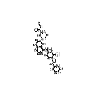 C=CC(=O)N1CCC[C@@H](c2ccc3ncnc(Nc4ccc(OCc5ccccn5)c(Cl)c4)c3c2)C1